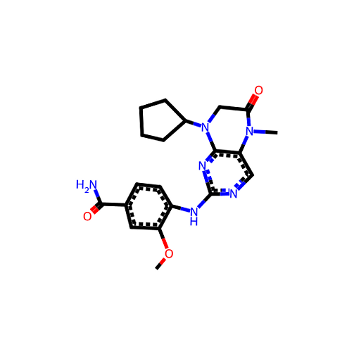 COc1cc(C(N)=O)ccc1Nc1ncc2c(n1)N(C1CCCC1)CC(=O)N2C